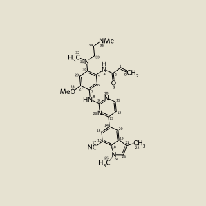 C=CC(=O)Nc1cc(Nc2nccc(-c3cc(C#N)c4c(c3)c(C)cn4C)n2)c(OC)cc1N(C)CCNC